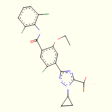 C[C@H](Oc1cc(-c2nc([C@@](C)(O)S)n(C3CC3)n2)c(F)cc1C(=O)Nc1c(F)cccc1Cl)C(F)(F)F